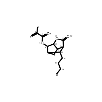 C=C(C)C(=O)OC1C2CC3C1OC(=O)C3C2CCCC